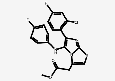 COC(=O)Cc1csc2nc(-c3ccc(F)cc3Cl)c(Nc3ccc(F)cc3)n12